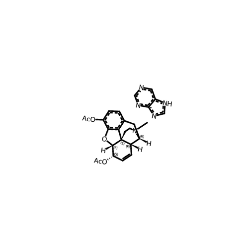 CC(=O)Oc1ccc2c3c1O[C@H]1[C@@H](OC(C)=O)C=C[C@H]4[C@@H](C2)N(C)CC[C@@]341.c1ncc2[nH]cnc2n1